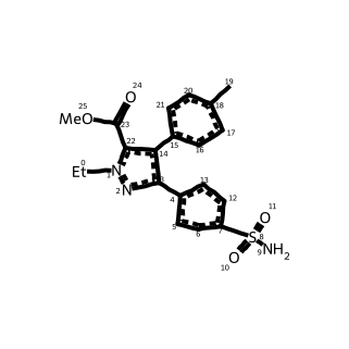 CCn1nc(-c2ccc(S(N)(=O)=O)cc2)c(-c2ccc(C)cc2)c1C(=O)OC